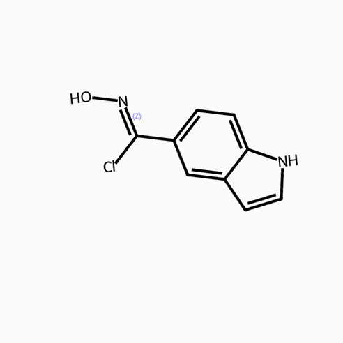 O/N=C(\Cl)c1ccc2[nH]ccc2c1